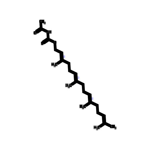 CC(=O)NC(=S)OC/C=C(\C)CC/C=C(\C)CC/C=C(\C)CCC=C(C)C